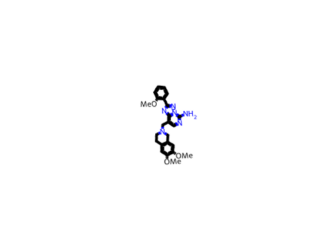 COc1cc2c(cc1OC)CN(Cc1cnc(N)n3nc(-c4ccccc4OC)nc13)CC2